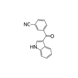 N#Cc1cccc(C(=O)c2c[nH]c3ccccc23)c1